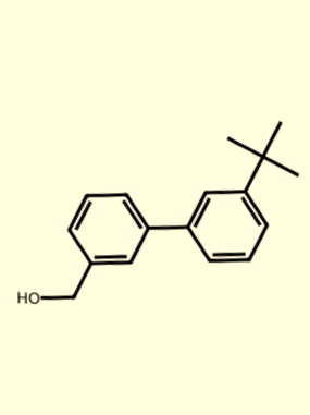 CC(C)(C)c1cccc(-c2cccc(CO)c2)c1